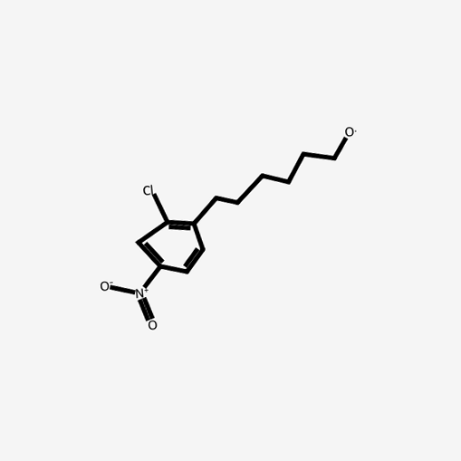 [O]CCCCCCc1ccc([N+](=O)[O-])cc1Cl